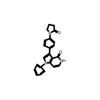 O=C1CCCN1c1ccc(-c2cn(-c3ccccc3)c3cc[nH]c(=O)c23)cc1